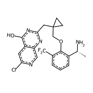 C[C@@H](N)c1cccc(C(F)(F)F)c1OCC1(Cc2nc(O)c3cc(Cl)ncc3n2)CC1